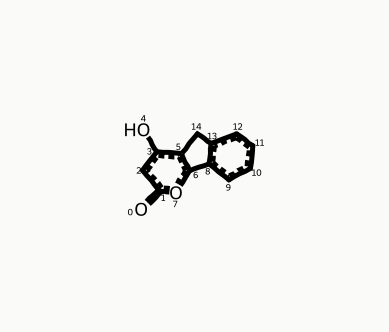 O=c1cc(O)c2c(o1)-c1ccccc1C2